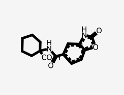 O=C(NC1(C(=O)O)CCCCC1)c1ccc2oc(=O)[nH]c2c1